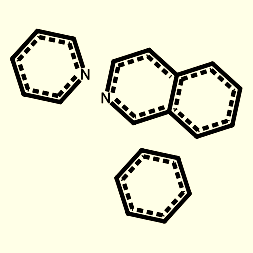 c1ccc2cnccc2c1.c1ccccc1.c1ccncc1